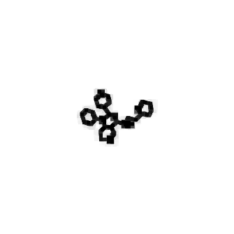 C1=NCCC2=C1C(NCCc1ccccn1)=NC(c1ccncc1)N2c1ccccc1